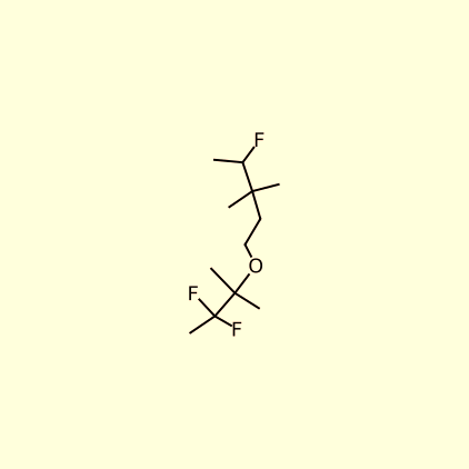 CC(F)C(C)(C)CCOC(C)(C)C(C)(F)F